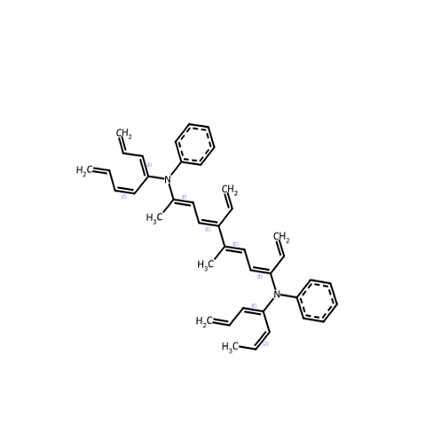 C=C/C=C\C(=C/C=C)N(/C(C)=C/C=C(C=C)/C(C)=C/C=C(\C=C)N(C(/C=C\C)=C/C=C)c1ccccc1)c1ccccc1